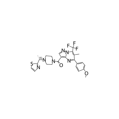 COc1ccc(-c2nc3c(C(=O)N4CCN([C@@H](C)c5nccs5)CC4)cnn3c(C(F)(F)F)c2C)cc1